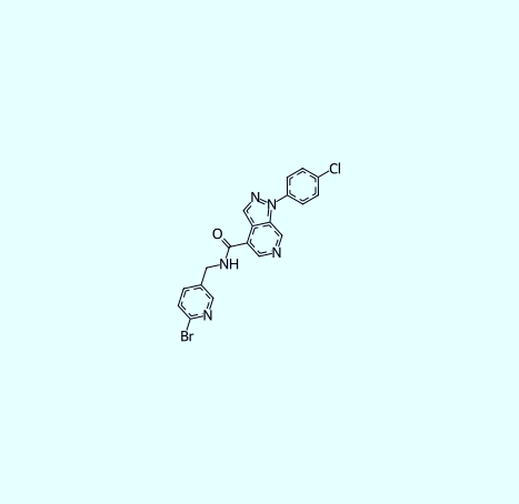 O=C(NCc1ccc(Br)nc1)c1cncc2c1cnn2-c1ccc(Cl)cc1